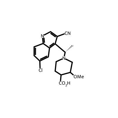 [CH2][C@@H](c1c(C#N)cnc2ccc(Cl)cc12)N1CCC(C(=O)O)C(OC)C1